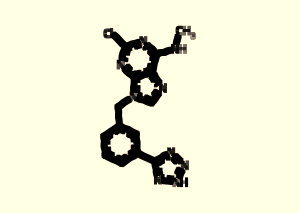 CNc1nc(Cl)nc2c1ncn2Cc1cccc(-c2nn[nH]n2)c1